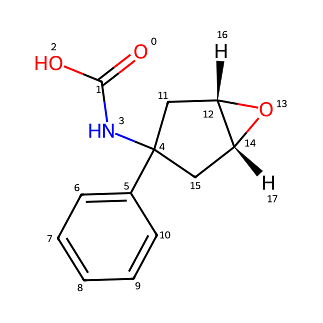 O=C(O)NC1(c2ccccc2)C[C@@H]2O[C@@H]2C1